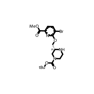 COC(=O)c1ccc(Br)c(OC[C@H]2CN(C(=O)OC(C)(C)C)CCN2)n1